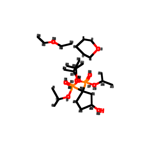 C1CCOCC1.CC(C)OP(=O)(OC(C)C)C1(P(=O)(OC(C)C)OC(C)C)CCC(O)C1.CCOCC